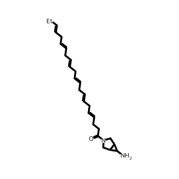 CCC=CCC=CCC=CCC=CCC=CCC=CCCC(=O)N1CC2C(N)C2C1